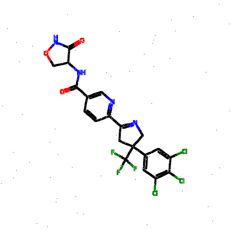 O=C(NC1CONC1=O)c1ccc(C2=NCC(c3cc(Cl)c(Cl)c(Cl)c3)(C(F)(F)F)C2)nc1